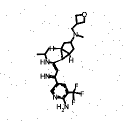 CC(C)N/C(=C\C(=N)c1cnc(N)c(C(F)(F)F)c1)[C@H]1[C@@H]2CC(N(C)CC3COC3)C[C@@H]21